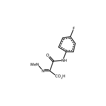 CN/N=C(/C(=O)O)C(=O)Nc1ccc(F)cc1